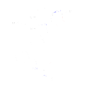 CCNC(=O)NCc1ccccc1-c1ccc(CN2C(=O)[C@H](NC(=O)CC)CSc3cc(SC)ccc32)cc1